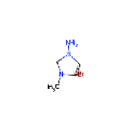 Br.CN1C=CN(N)C1